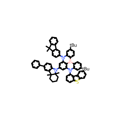 CC(C)(C)c1ccc2c(c1)N(c1ccc3c(c1)-c1ccccc1C3(C)C)c1cc(N3c4ccc(-c5ccccc5)cc4C4(C)CCCCC34C)cc3c1B2c1ccc(C(C)(C)C)cc1N3c1cccc2sc3ccccc3c12